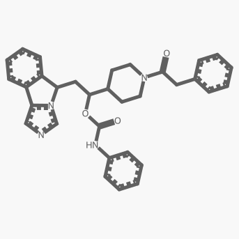 O=C(Nc1ccccc1)OC(CC1c2ccccc2-c2cncn21)C1CCN(C(=O)Cc2ccccc2)CC1